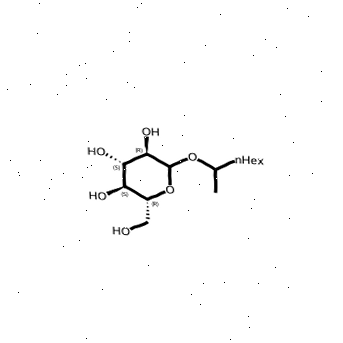 CCCCCCC(C)OC1O[C@H](CO)[C@@H](O)[C@H](O)[C@H]1O